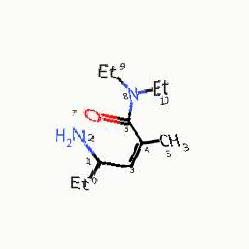 CCC(N)C=C(C)C(=O)N(CC)CC